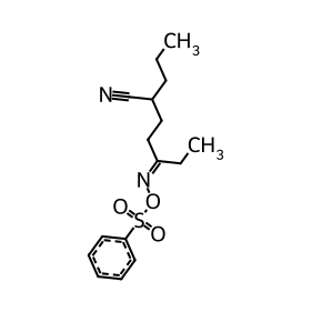 CCCC(C#N)CC/C(CC)=N/OS(=O)(=O)c1ccccc1